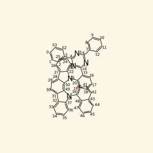 c1ccc(-c2nc(-c3ccccc3)nc(-c3ccccc3-n3c4ccccc4c4ccc5c6ccccc6n(-c6cccc7ccccc67)c5c43)n2)cc1